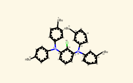 CCCCc1ccc(N(c2ccc(CCCC)cc2)c2cccc(N(c3cccc(CCCC)c3)c3cccc(CCCC)c3)c2Cl)cc1